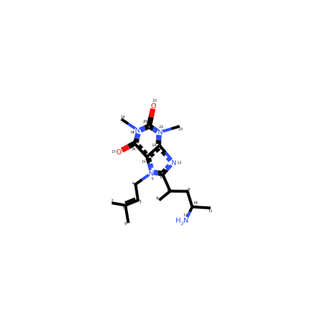 CC(C)=CCn1c(C(C)CC(C)N)nc2c1c(=O)n(C)c(=O)n2C